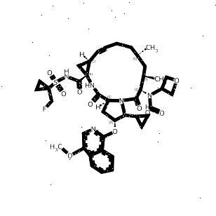 COc1cnc(O[C@@H]2C[C@H]3C(=O)N[C@]4(C(=O)NS(=O)(=O)C5(CF)CC5)C[C@H]4/C=C\CC[C@H](C)C[C@@H](C)[C@H](N(C(=O)O)C4COC4)C(=O)N3C2C2CC2)c2ccccc12